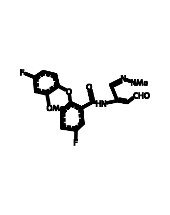 CN/N=C\C(=C/C=O)NC(=O)c1cc(F)ccc1Oc1ccc(F)cc1OC